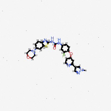 Cn1cc(-c2cc(Oc3ccc(NC(=O)Nc4nc5ccc(N6CCOCC6)cc5s4)cc3F)ccn2)cn1